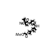 COCC(=O)N1CC(n2cc(Nc3nccc(N4CC[C@@](C#N)(C5CC5)C4=O)n3)cn2)C1